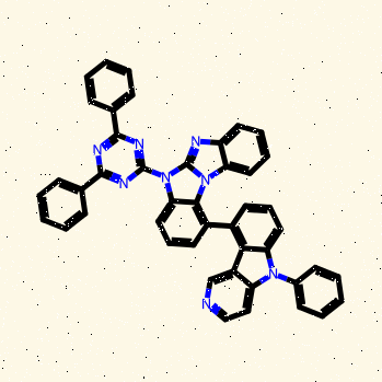 c1ccc(-c2nc(-c3ccccc3)nc(-n3c4cccc(-c5cccc6c5c5cnccc5n6-c5ccccc5)c4n4c5ccccc5nc34)n2)cc1